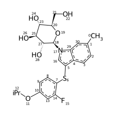 Cc1ccc2c(Sc3ccc(OC(C)C)cc3F)cn([C@@H]3O[C@H](CO)[C@@H](O)[C@H](O)[C@H]3O)c2c1